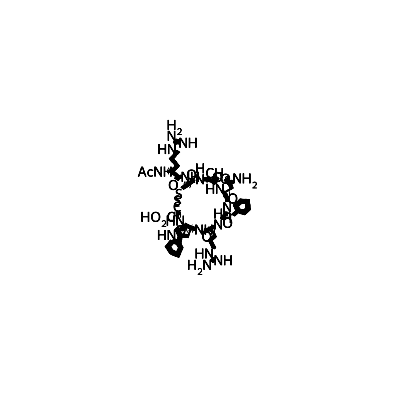 CC(=O)N[C@@H](CCCNC(=N)N)C(=O)N[C@H]1CSSC[C@@H](C(=O)O)NC(=O)[C@H](Cc2c[nH]c3ccccc23)NC(=O)[C@H](CCCNC(=N)N)NC(=O)[C@@H](Cc2ccccc2)NC(=O)[C@H](CC(N)=O)NC(=O)[C@@H](C)NC1=O